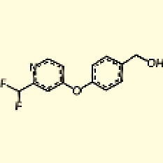 OCc1ccc(Oc2ccnc(C(F)F)c2)cc1